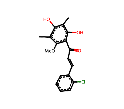 COc1c(C)c(O)c(C)c(O)c1C(=O)C=Cc1ccccc1Cl